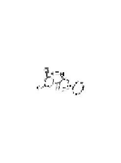 O/N=C(/CC(O)C1CCCCC1)Nc1cc(Cl)cc(Cl)c1